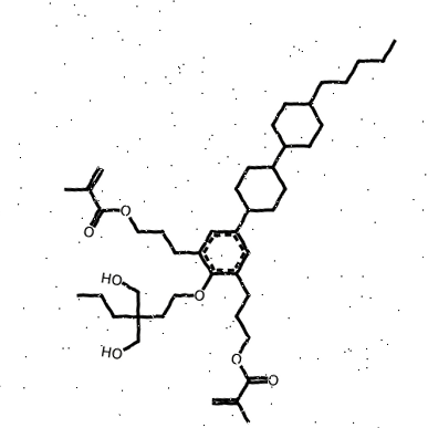 C=C(C)C(=O)OCCCc1cc(C2CCC(C3CCC(CCCCC)CC3)CC2)cc(CCCOC(=O)C(=C)C)c1OCCC(CO)(CO)CCC